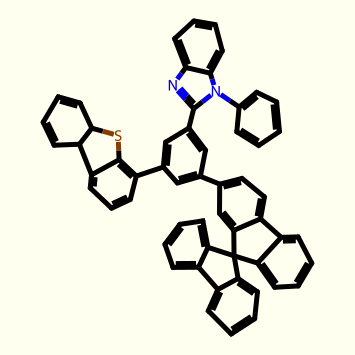 C1=CC2Sc3c(-c4cc(-c5ccc6c(c5)C5(c7ccccc7-c7ccccc75)c5ccccc5-6)cc(-c5nc6ccccc6n5-c5ccccc5)c4)cccc3C2C=C1